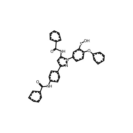 O=C(Nc1ccc(-c2cc(NC(=O)c3ccccc3)n(-c3ccc(Oc4ccccc4)c(SO)c3)n2)cc1)c1ccccc1